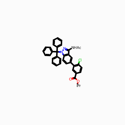 CC(=O)Nc1nn(C(c2ccccc2)(c2ccccc2)c2ccccc2)c2ccc(-c3cc(C(=O)OC(C)C)ccc3Cl)cc12